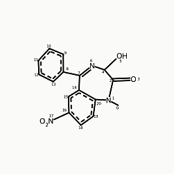 CN1C(=O)C(O)N=C(c2ccccc2)c2cc([N+](=O)[O-])ccc21